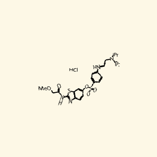 COCC(=O)Nc1nc2ccc(OS(=O)(=O)c3ccc(NCCN(C(C)C)C(C)C)cc3)cc2s1.Cl